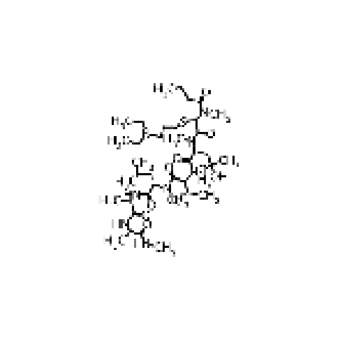 CCCC(=O)N(C)[C@H](SCCCN(CC)CC)C(=O)N(C)[C@@H](CC(C)(C)O)C(=O)N[C@H](C(=O)N(C)[C@@H](CC(C)C)C(=O)N[C@H](C)C(=O)N[C@H](C)C(=O)NC)C(C)C